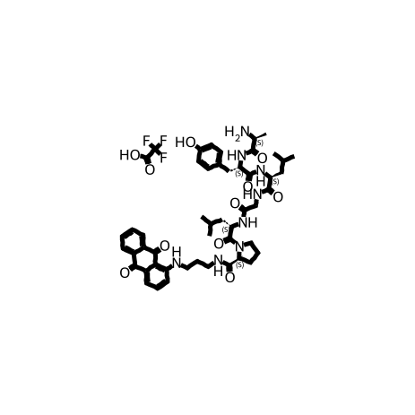 CC(C)C[C@H](NC(=O)[C@H](Cc1ccc(O)cc1)NC(=O)[C@H](C)N)C(=O)NCC(=O)N[C@@H](CC(C)C)C(=O)N1CCC[C@H]1C(=O)NCCCNc1cccc2c1C(=O)c1ccccc1C2=O.O=C(O)C(F)(F)F